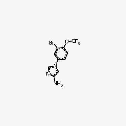 Nc1cn(-c2ccc(OC(F)(F)F)c(Br)c2)cn1